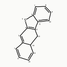 C1=CC2=Cc3sc4ccccc4c3CC2C=C1